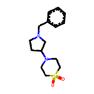 O=S1(=O)CCN(C2CCN(Cc3ccccc3)C2)CC1